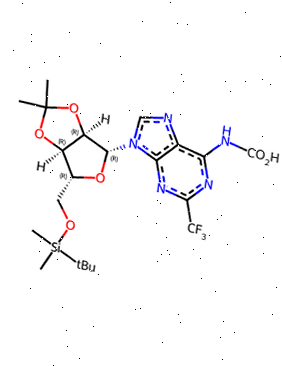 CC1(C)O[C@@H]2[C@H](O1)[C@@H](CO[Si](C)(C)C(C)(C)C)O[C@H]2n1cnc2c(NC(=O)O)nc(C(F)(F)F)nc21